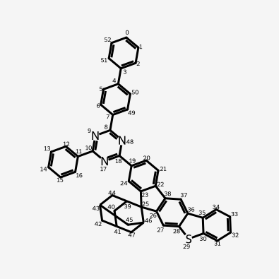 c1ccc(-c2ccc(-c3nc(-c4ccccc4)nc(-c4ccc5c(c4)C4(c6cc7sc8ccccc8c7cc6-5)C5CC6CC(C5)CC4C6)n3)cc2)cc1